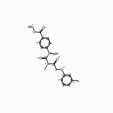 CCCCOC(=O)c1ccc(N(S)C(=O)N(C)C(=O)COc2cccc(C)c2)cc1